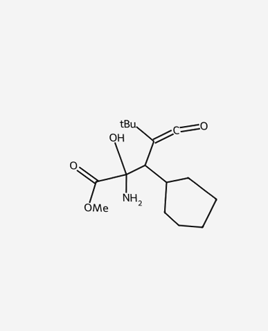 COC(=O)C(N)(O)C(C(=C=O)C(C)(C)C)C1CCCCC1